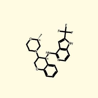 C[C@@H]1CN(C2COc3ccccc3[C@@H]2Nc2nccc3[nH]c(C(F)(F)F)cc23)CCO1